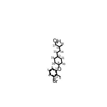 Cc1c(Br)cccc1OC1CCC(CCC(C)CO)CC1